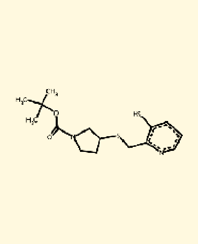 CC(C)(C)OC(=O)N1CCC(SCc2ncccc2S)C1